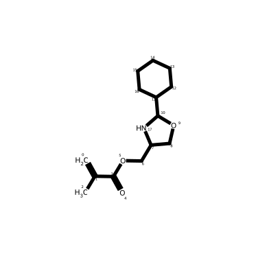 C=C(C)C(=O)OCC1COC(C2CCCCC2)N1